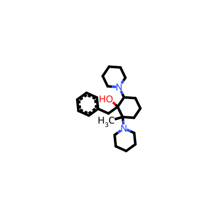 CC1(N2CCCCC2)CCCC(N2CCCCC2)C1(O)Cc1ccccc1